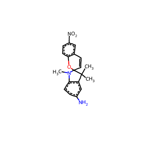 CN1c2ccc(N)cc2C(C)(C)C12C=Cc1cc([N+](=O)[O-])ccc1O2